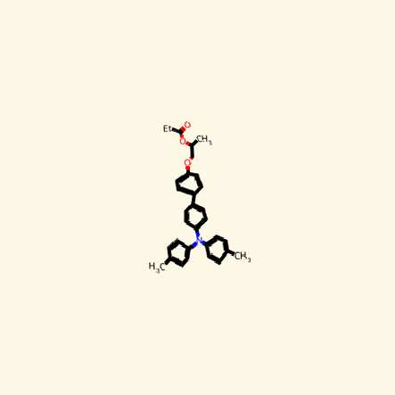 CCC(=O)OC(C)COc1ccc(-c2ccc(N(c3ccc(C)cc3)c3ccc(C)cc3)cc2)cc1